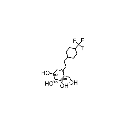 OC[C@@H]1[C@@H](O)[C@H](O)[C@@H](O)CN1CCC1CCC(C(F)(F)F)CC1